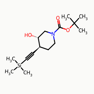 CC(C)(C)OC(=O)N1CC[C@@H](C#C[Si](C)(C)C)[C@H](O)C1